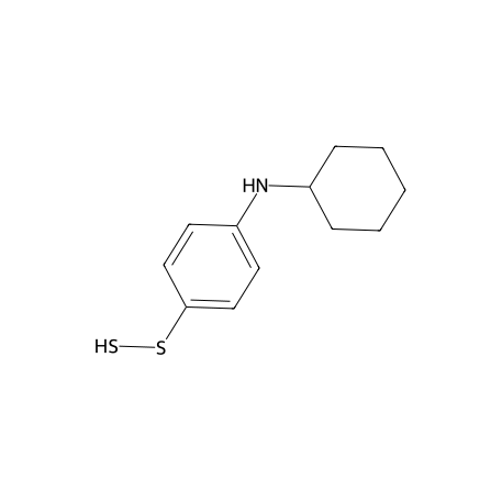 SSc1ccc(NC2CCCCC2)cc1